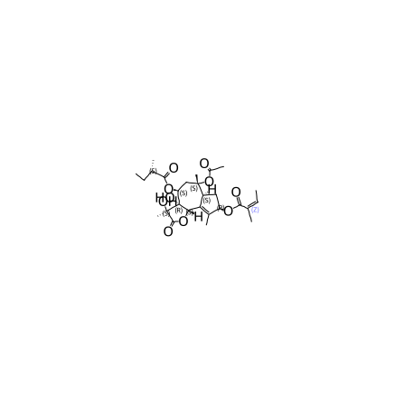 C/C=C(/C)C(=O)O[C@@H]1C[C@H]2C(=C1C)[C@@H]1OC(=O)[C@@](C)(O)[C@@]1(O)[C@@H](OC(=O)[C@@H](C)CC)C[C@]2(C)OC(C)=O